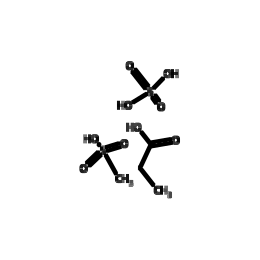 CCC(=O)O.CS(=O)(=O)O.O=S(=O)(O)O